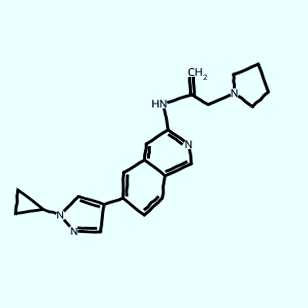 C=C(CN1CCCC1)Nc1cc2cc(-c3cnn(C4CC4)c3)ccc2cn1